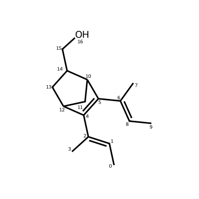 CC=C(C)C1=C(C(C)=CC)C2CC1CC2CO